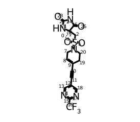 C[C@]1(CS(=O)(=O)N2CC=C(C#Cc3cnc(C(F)(F)F)nc3)CC2)NC(=O)NC1=O